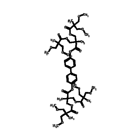 COCC(C)(COC)C(=O)OCC(C)(COC(=O)C(C)(COC)COC)C(=O)Oc1ccc(-c2ccc(OC(=O)C(C)(COC(=O)C(C)(COC)COC)COC(=O)C(C)(COC)COC)cc2)cc1